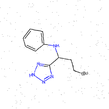 CC(C)(C)CCC(Nc1ccccc1)c1nn[nH]n1